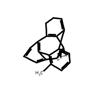 Cc1cccc2c1-c1c3cccc1[C@@H]1C=CC=CC1C1=C3CCC=C12